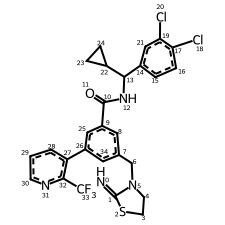 N=C1SCCN1Cc1cc(C(=O)NC(c2ccc(Cl)c(Cl)c2)C2CC2)cc(-c2cccnc2C(F)(F)F)c1